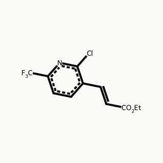 CCOC(=O)C=Cc1ccc(C(F)(F)F)nc1Cl